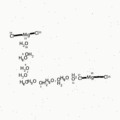 O.O.O.O.O.O.O.O.O.O.O.O.[Cl][Mg][Cl].[Cl][Mg][Cl]